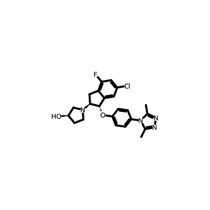 Cc1nnc(C)n1-c1ccc(O[C@H]2c3cc(Cl)cc(F)c3C[C@@H]2N2CC[C@@H](O)C2)cc1